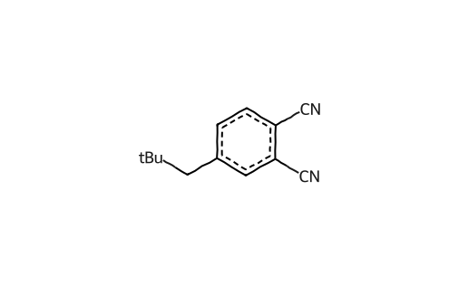 CC(C)(C)Cc1ccc(C#N)c(C#N)c1